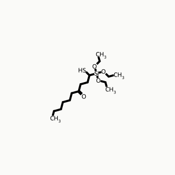 CCCCCCC(=O)CCC(S)[Si](OCC)(OCC)OCC